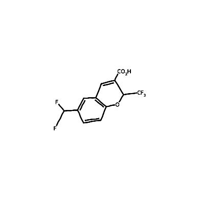 O=C(O)C1=Cc2cc(C(F)F)ccc2OC1C(F)(F)F